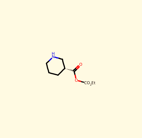 CCOC(=O)OC(=O)[C@@H]1CCCNC1